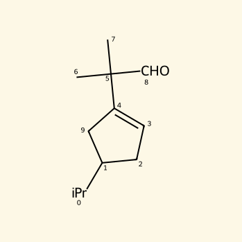 CC(C)C1CC=C(C(C)(C)C=O)C1